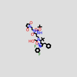 CC(C)(C)OC(=O)NC(CCN(C(=O)CO)C(c1nn(-c2cc(F)ccc2F)cc1Cc1ccccc1)C(C)(C)C)C(=O)NCCN1C(=O)C=CC1=O